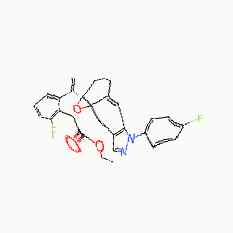 C=C(c1cccc(F)c1CC(=O)OCC)[C@]12CCC3=Cc4c(cnn4-c4ccc(F)cc4)CC31O2